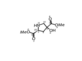 COC(=O)[C@@H]1CC(O)(C(=O)OC)CN1